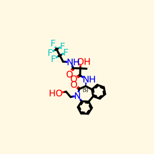 CC(O)(C(=O)NCC(F)(F)C(F)(F)F)C(=O)N[C@@H]1C(=O)N(CCO)c2ccccc2-c2ccccc21